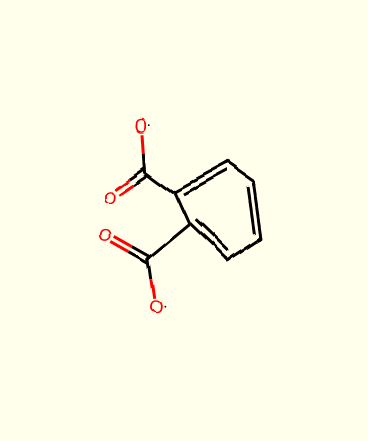 [O]C(=O)c1ccccc1C([O])=O